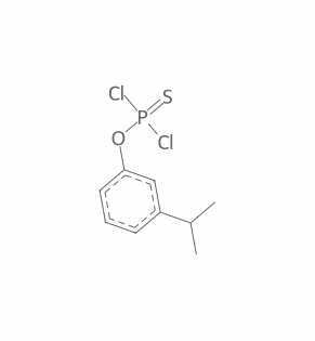 CC(C)c1cccc(OP(=S)(Cl)Cl)c1